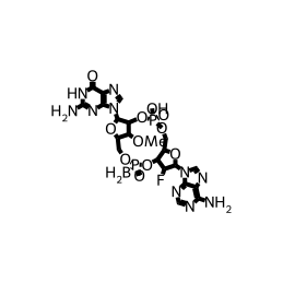 B[P@@]1(=O)OCC2OC(n3cnc4c(=O)[nH]c(N)nc43)C(OP(=O)(O)OCC3OC(n4cnc5c(N)ncnc54)C(F)C3O1)C2OC